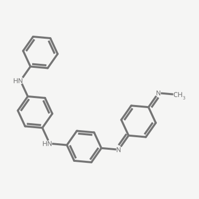 CN=C1C=CC(=Nc2ccc(Nc3ccc(Nc4ccccc4)cc3)cc2)C=C1